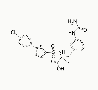 NC(=O)Nc1cccc([C@@H]2C[C@]2(NS(=O)(=O)c2ccc(-c3ccc(Cl)cc3)s2)C(=O)O)c1